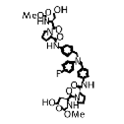 COC(=O)N[C@@H](CCO)C(=O)N1CCCC1C(=O)Nc1ccc(CN(Cc2ccc(NC(=O)[C@@H]3CCCN3C(=O)[C@H](CCO)NC(=O)OC)cc2)c2ccc(F)cc2)cc1